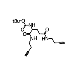 C#CCCNC(=O)CCC(NC(=O)OC(C)(C)C)C(=O)NCCC#C